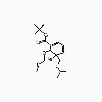 COCOC1C(C(=O)OC(C)(C)C)=CC=CC1(Br)COC(C)C